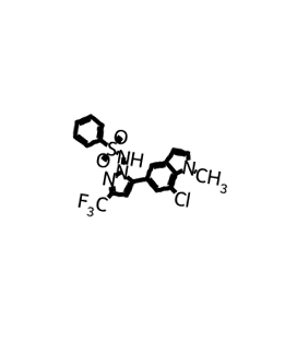 Cn1ccc2cc(-c3cc(C(F)(F)F)nn3NS(=O)(=O)c3ccccc3)cc(Cl)c21